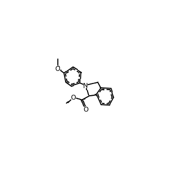 COC(=O)C1c2ccccc2CN1c1ccc(OC)cc1